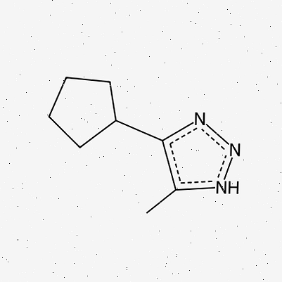 Cc1[nH]nnc1C1CCCC1